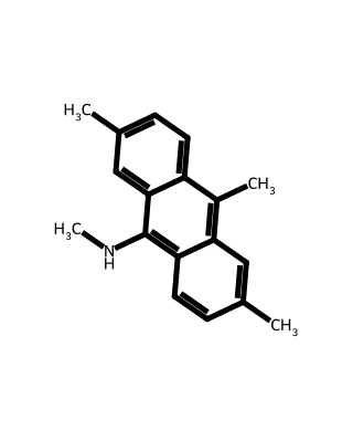 CNc1c2ccc(C)cc2c(C)c2ccc(C)cc12